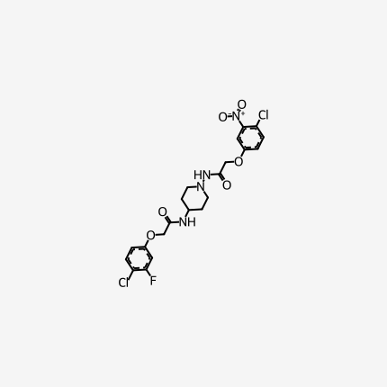 O=C(COc1ccc(Cl)c(F)c1)NC1CCN(NC(=O)COc2ccc(Cl)c([N+](=O)[O-])c2)CC1